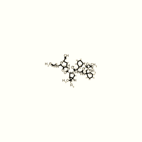 C#CCCC(NC(=O)[C@@H]1C2[C@H](CN1C(=O)[C@@H](NC(=O)NC1(CS(=O)(=O)C(C)(C)C)CCCCC1)C1CCCCC1)C2(C)C)C(=O)C(=O)NCC=C